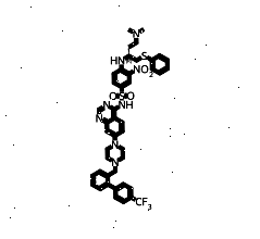 CN(C)CC[C@H](CSc1ccccc1)Nc1ccc(S(=O)(=O)Nc2ncnc3cc(N4CCN(Cc5ccccc5-c5ccc(C(F)(F)F)cc5)CC4)ccc23)cc1[N+](=O)[O-]